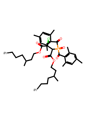 Cc1cc(C)c(C(=O)P(=O)(C(=O)c2c(C)cc(C)cc2C)C(C(=O)OCCC(C)CCCC(C)C)C(Cl)C(=O)OCCC(C)CCCC(C)C)c(C)c1